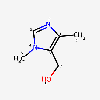 Cc1ncn(C)c1CO